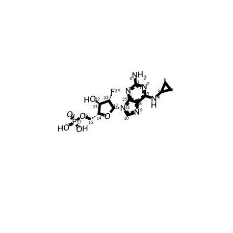 Nc1nc(NC2CC2)c2ncn([C@@H]3O[C@H](COP(=O)(O)O)[C@@H](O)[C@@H]3F)c2n1